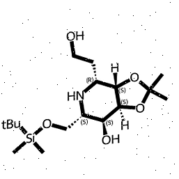 CC1(C)O[C@@H]2[C@@H](O1)[C@@H](O)[C@H](CO[Si](C)(C)C(C)(C)C)N[C@@H]2CCO